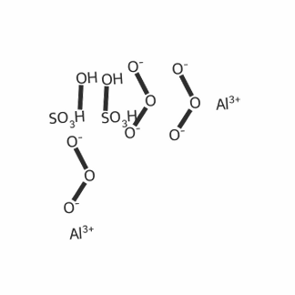 O=S(=O)(O)O.O=S(=O)(O)O.[Al+3].[Al+3].[O-]O[O-].[O-]O[O-].[O-]O[O-]